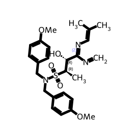 C=N/C(=N\C=C(C)C)[C@@H](O)[C@@H](C)S(=O)(=O)N(Cc1ccc(OC)cc1)Cc1ccc(OC)cc1